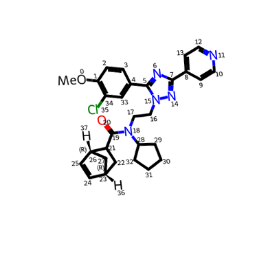 COc1ccc(-c2nc(-c3ccncc3)nn2CCN(C(=O)C2C[C@@H]3C=C[C@H]2C3)C2CCCC2)cc1Cl